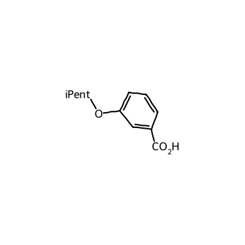 CCCC(C)Oc1cccc(C(=O)O)c1